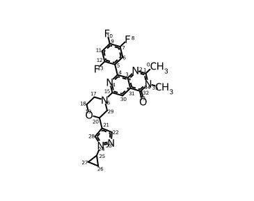 Cc1nc2c(-c3cc(F)c(F)cc3F)nc(N3CCOC(c4cnn(C5CC5)c4)C3)cc2c(=O)n1C